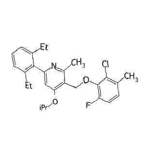 CCc1cccc(CC)c1-c1cc(OC(C)C)c(COc2c(F)ccc(C)c2Cl)c(C)n1